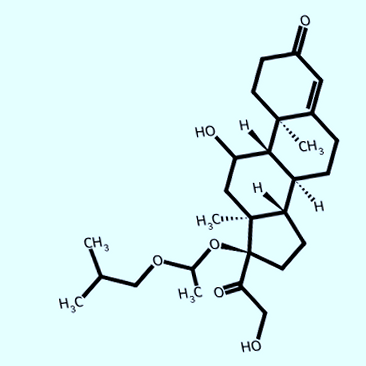 CC(C)COC(C)O[C@]1(C(=O)CO)CC[C@H]2[C@@H]3CCC4=CC(=O)CC[C@]4(C)[C@H]3C(O)C[C@@]21C